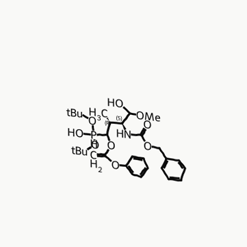 C=C(Oc1ccccc1)OC([C@H](C)[C@H](NC(=O)OCc1ccccc1)C(O)OC)[PH](O)(OC(C)(C)C)OC(C)(C)C